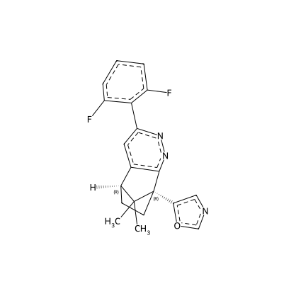 CC1(C)[C@H]2CC[C@]1(c1cnco1)c1nnc(-c3c(F)cccc3F)cc12